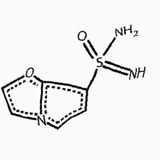 N=S(N)(=O)c1ccn2ccoc12